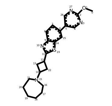 COc1ncc(-c2ccc3nc(C4CC(N5CCCCCC5)C4)sc3c2)cn1